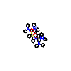 c1ccc(-c2c3ccccc3c(-c3ccccc3N3c4cc5c(cc4B4c6ccccc6N(c6ccccc6)c6cc(N(c7ccccc7)c7ccccc7)cc3c64)B3c4ccccc4N(c4ccccc4)c4cc(N(c6ccccc6)c6ccccc6)cc(c43)S5)c3ccccc23)cc1